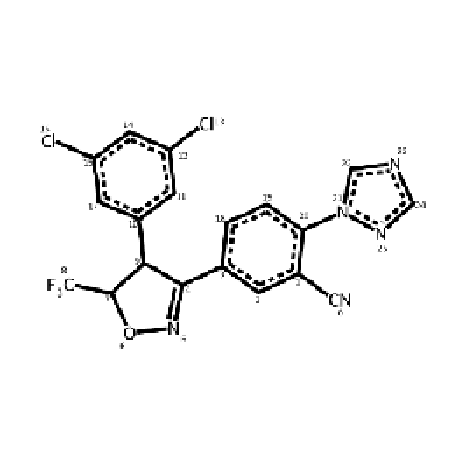 N#Cc1cc(C2=NOC(C(F)(F)F)C2c2cc(Cl)cc(Cl)c2)ccc1-n1cncn1